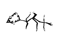 FC(F)(F)C(F)(F)C(F)(F)c1nn[c]s1